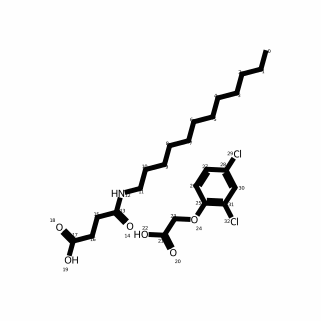 CCCCCCCCCCCCNC(=O)CCC(=O)O.O=C(O)COc1ccc(Cl)cc1Cl